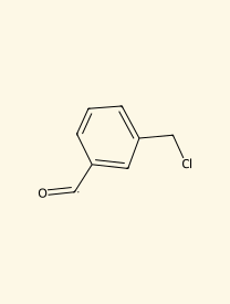 O=[C]c1cccc(CCl)c1